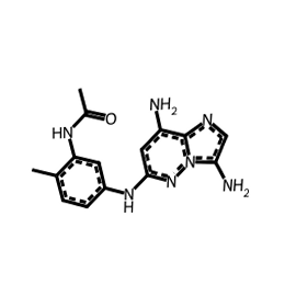 CC(=O)Nc1cc(Nc2cc(N)c3ncc(N)n3n2)ccc1C